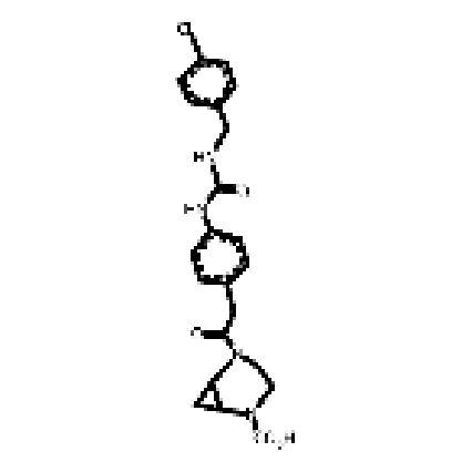 O=C(NCc1ccc(Cl)cc1)Nc1ccc(CC(=O)N2CCN(C(=O)O)C3CC32)cc1